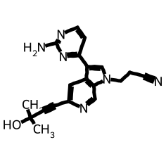 CC(C)(O)C#Cc1cc2c(-c3ccnc(N)n3)cn(CCC#N)c2cn1